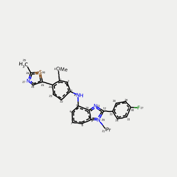 COc1cc(Nc2cccc3c2nc(-c2ccc(F)cc2)n3C(C)C)ccc1-c1cnc(C)s1